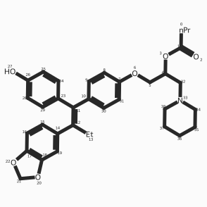 CCCC(=O)OC(COc1ccc(C(=C(CC)c2ccc3c(c2)OCO3)c2ccc(O)cc2)cc1)CN1CCCCC1